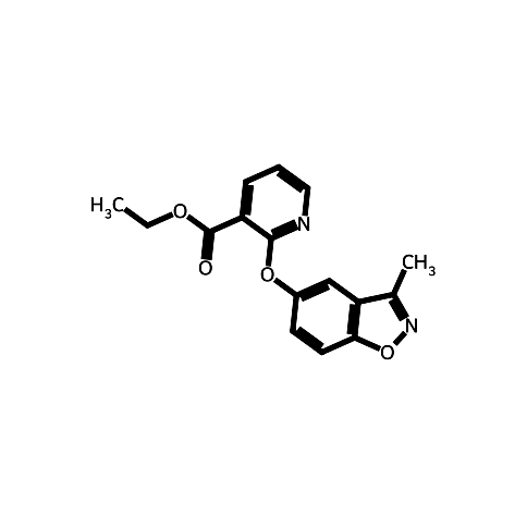 CCOC(=O)c1cccnc1Oc1ccc2onc(C)c2c1